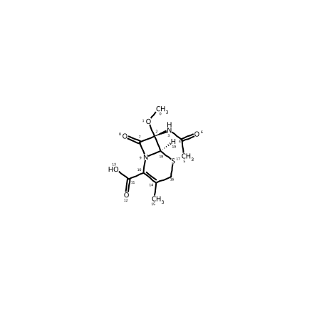 CO[C@@]1(NC(C)=O)C(=O)N2C(C(=O)O)=C(C)CS[C@@H]21